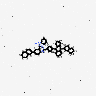 c1ccc2c(c1)NC1c3cc(-c4ccc5ccccc5c4)ccc3N=C(c3ccc(-c4c5ccccc5c(-c5ccc6ccccc6c5)c5ccccc45)cc3)N21